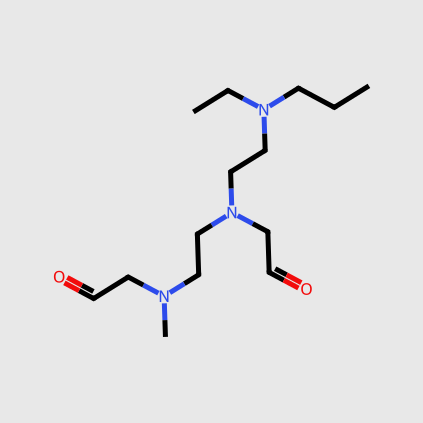 CCCN(CC)CCN(CC=O)CCN(C)CC=O